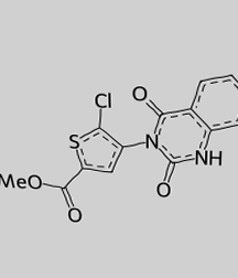 COC(=O)c1cc(-n2c(=O)[nH]c3ccccc3c2=O)c(Cl)s1